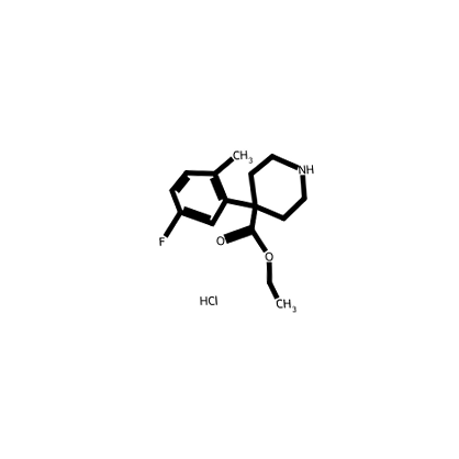 CCOC(=O)C1(c2cc(F)ccc2C)CCNCC1.Cl